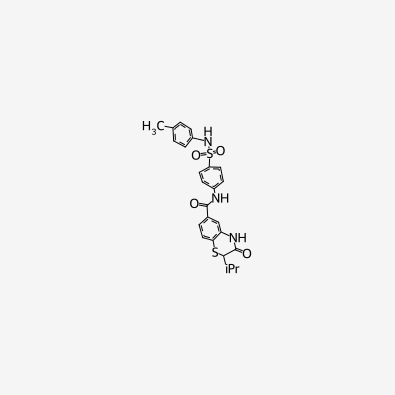 Cc1ccc(NS(=O)(=O)c2ccc(NC(=O)c3ccc4c(c3)NC(=O)C(C(C)C)S4)cc2)cc1